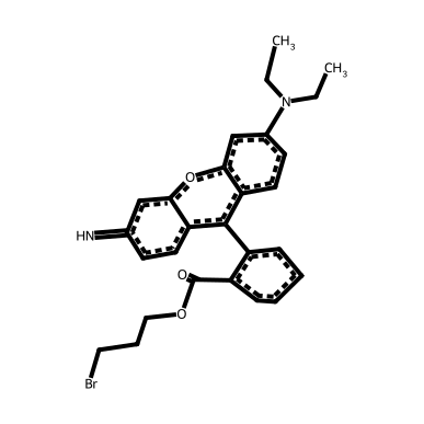 CCN(CC)c1ccc2c(-c3ccccc3C(=O)OCCCBr)c3ccc(=N)cc-3oc2c1